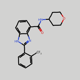 O=C(NC1CCOCC1)c1cccc2[nH]c(-c3ccccc3C(F)(F)F)nc12